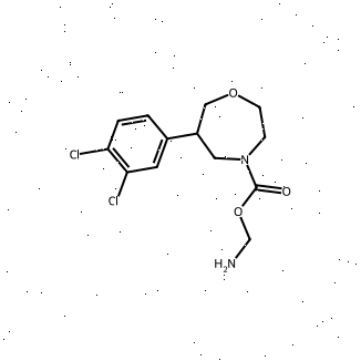 NCOC(=O)N1CCOCC(c2ccc(Cl)c(Cl)c2)C1